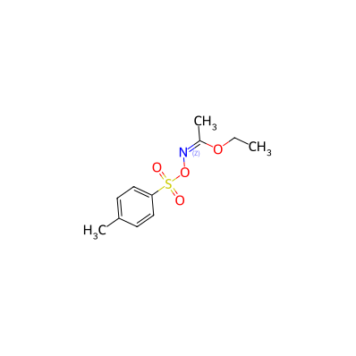 CCO/C(C)=N\OS(=O)(=O)c1ccc(C)cc1